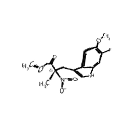 COC(=O)[C@](C)(Cc1c[nH]c2cc(F)c(OC)cc12)[N+](=O)[O-]